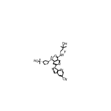 CC(C)(O)[C@H]1CC[C@H](Nc2cc(-n3ncc4cc(C#N)cnc43)ncc2C(=O)NC[C@@H](F)C(C)(C)O)C1